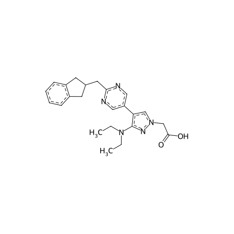 CCN(CC)c1nn(CC(=O)O)cc1-c1cnc(CC2Cc3ccccc3C2)nc1